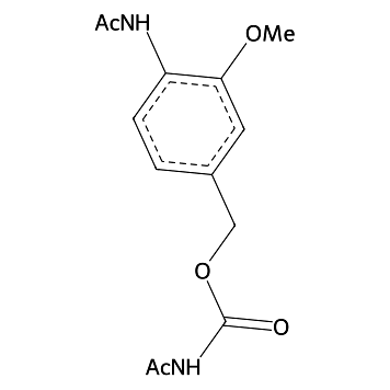 COc1cc(COC(=O)NC(C)=O)ccc1NC(C)=O